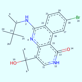 CC(Nc1nc2c(C(C)(C)O)c[nH]c(=O)c2c2cc(Br)ccc12)C(C)(C)C